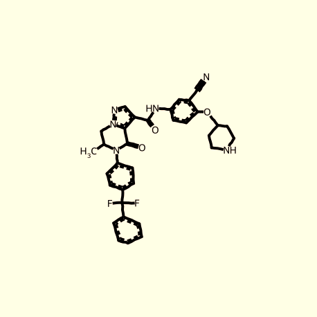 CC1Cn2ncc(C(=O)Nc3ccc(OC4CCNCC4)c(C#N)c3)c2C(=O)N1c1ccc(C(F)(F)c2ccccc2)cc1